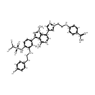 Cn1nc(-c2ccc(NS(=O)(=O)C(F)F)c(OCCc3ccc(F)cc3)c2)c2c(N)ncc(-c3cnn(CCOc4ccc(C(=O)O)cc4)c3)c21